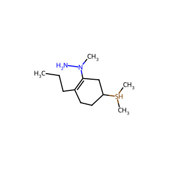 CCCC1=C(N(C)N)CC([SH](C)C)CC1